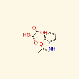 CC1=CNc2ccccc2O1.O=C(O)C(=O)O